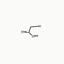 CC[C@@H](CC(C)=O)OC